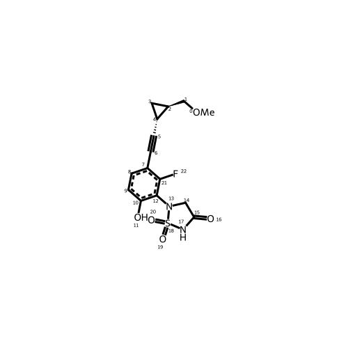 COC[C@@H]1C[C@H]1C#Cc1ccc(O)c(N2CC(=O)NS2(=O)=O)c1F